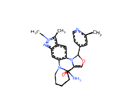 Cc1cc(C2OC=C(C(N)=O)N2c2cc3c(C)n(C)nc3cc2N2CCCCC2)ccn1